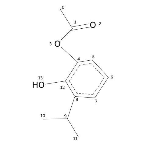 CC(=O)Oc1cccc(C(C)C)c1O